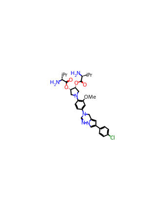 COc1cc(N2C=Nn3cc(-c4ccc(Cl)cc4)cc3C2)ccc1N1C[C@H](OC(=O)[C@@H](N)C(C)C)[C@H](OC(=O)[C@@H](N)C(C)C)C1